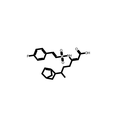 CC(CCC(=CC(=O)O)NS(=O)(=O)C=Cc1ccc(F)cc1)C1CC2CC=C1C2